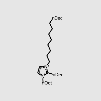 CCCCCCCCCCCCCCCCCC[n+]1ccn(CCCCCCCC)c1CCCCCCCCCC